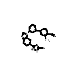 Cc1cc(-c2cccc(-n3cnc4ccc(-c5nc(=O)o[nH]5)cc43)c2)ccc1C#N